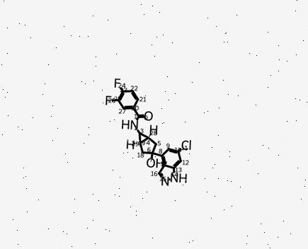 O=C(NC1[C@H]2CC(O)(c3cc(Cl)cc4[nH]ncc34)C[C@@H]12)c1ccc(F)c(F)c1